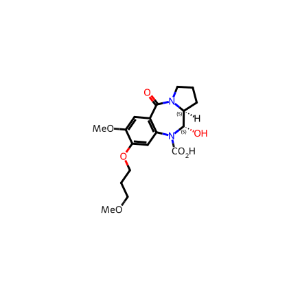 COCCCOc1cc2c(cc1OC)C(=O)N1CCC[C@H]1[C@H](O)N2C(=O)O